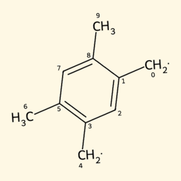 [CH2]c1cc([CH2])c(C)cc1C